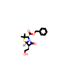 CC1(C)S[C@@H]2[C@H](CCO)C(=O)N2[C@H]1C(=O)OCc1ccccc1